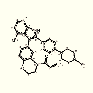 C=CC(=O)N1CCOc2ccc(-c3c(-c4ccc(N5CCN(CC)CC5)cc4)[nH]c4nccc(Cl)c34)cc21